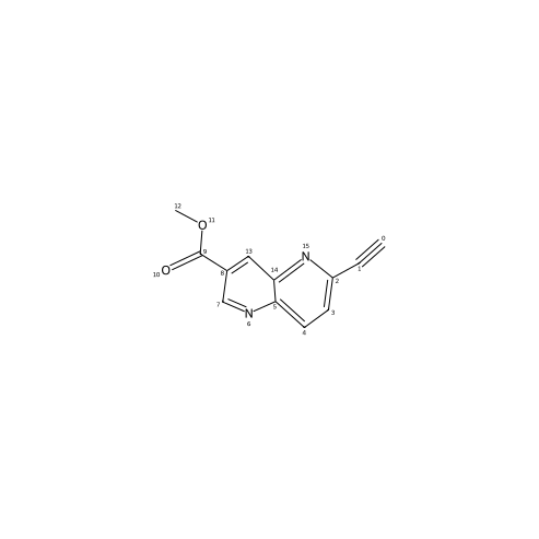 C#Cc1ccc2ncc(C(=O)OC)cc2n1